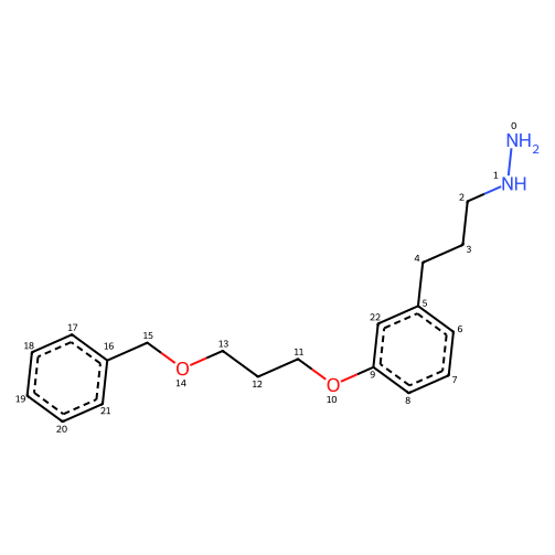 NNCCCc1cccc(OCCCOCc2ccccc2)c1